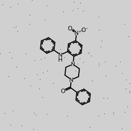 O=C(c1ccccc1)N1CCN(c2ccc([N+](=O)[O-])cc2Nc2ccccc2)CC1